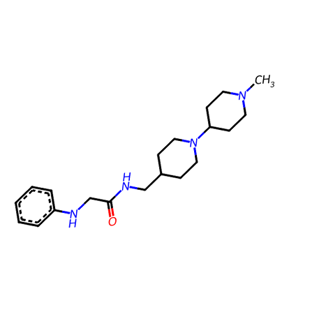 CN1CCC(N2CCC(CNC(=O)CNc3ccccc3)CC2)CC1